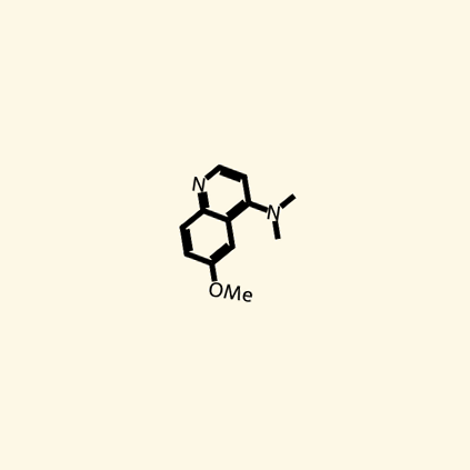 COc1ccc2nccc(N(C)C)c2c1